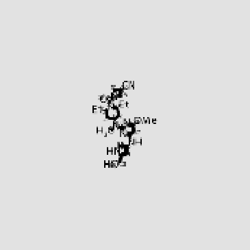 CC[C@@H]1C[C@@H](N(C)c2nc(Nc3cc(CO)[nH]n3)cc(OC)n2)C[C@H](CC)N1[S+]([O-])N1CC(C#N)C1